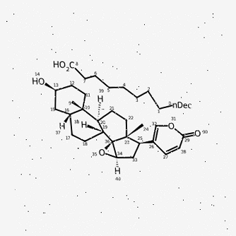 CCCCCCCCCCCCCCCCCC(=O)O.C[C@]12CC[C@H](O)C[C@H]1CC[C@@H]1[C@@H]2CC[C@]2(C)[C@@H](c3ccc(=O)oc3)C[C@H]3O[C@]132